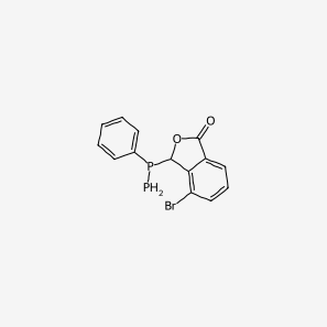 O=C1OC(P(P)c2ccccc2)c2c(Br)cccc21